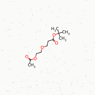 CC(=O)OCCOCCC(=O)OC(C)(C)C